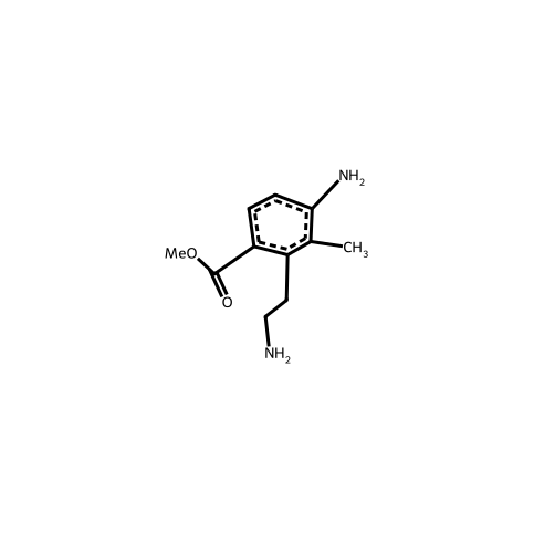 COC(=O)c1ccc(N)c(C)c1CCN